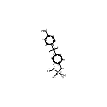 CCCCc1ccc(C(C)(C)c2ccc(CP(=O)(O)OCC)cc2)cc1